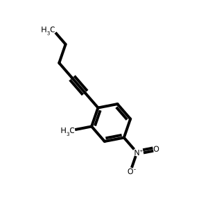 CCCC#Cc1ccc([N+](=O)[O-])cc1C